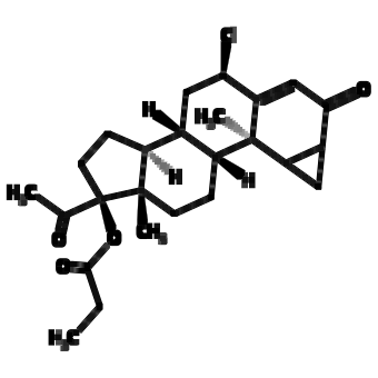 CCC(=O)O[C@@]1(C(C)=O)CC[C@H]2[C@@H]3C[C@@H](Cl)C4=CC(=O)C5CC5[C@@]4(C)[C@@H]3CC[C@@]21C